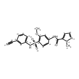 COc1cc(NC(=O)c2ccnn2C)ccc1S(=O)(=O)Nc1cccc(C#N)c1